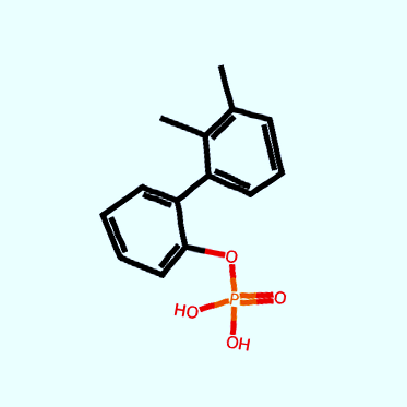 Cc1cccc(-c2ccccc2OP(=O)(O)O)c1C